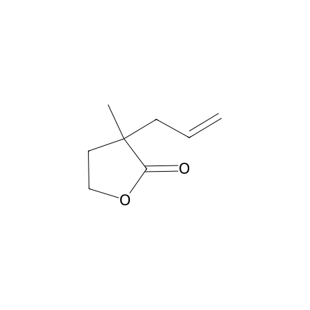 C=CCC1(C)CCOC1=O